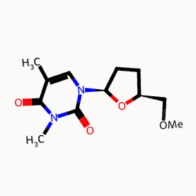 COC[C@@H]1CC[C@H](n2cc(C)c(=O)n(C)c2=O)O1